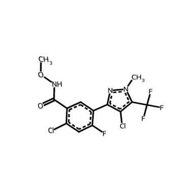 CONC(=O)c1cc(-c2nn(C)c(C(F)(F)F)c2Cl)c(F)cc1Cl